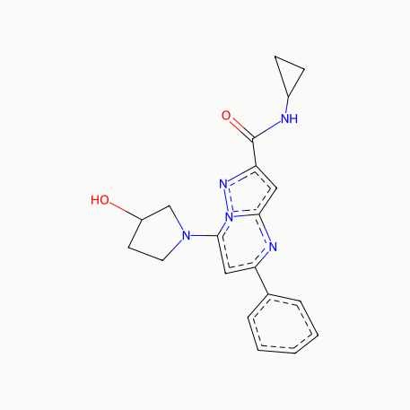 O=C(NC1CC1)c1cc2nc(-c3ccccc3)cc(N3CCC(O)C3)n2n1